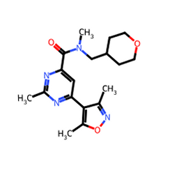 Cc1nc(C(=O)N(C)CC2CCOCC2)cc(-c2c(C)noc2C)n1